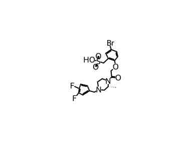 C[C@@H]1CN(Cc2ccc(F)c(F)c2)CCN1C(=O)COc1ccc(Br)cc1CS(=O)(=O)O